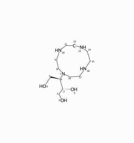 OC[C@@H](O)[C@@H](CO)N1CCNCCNCCNCC1